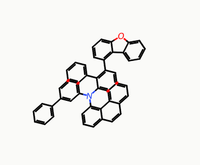 c1ccc(-c2cccc(N(c3cccc(-c4cccc5oc6ccccc6c45)c3-c3ccccc3)c3cccc4ccc5ccccc5c34)c2)cc1